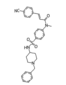 CN(C(=O)C=Cc1ccc(C#N)cc1)c1ccc(S(=O)(=O)NC2CCN(Cc3ccccc3)CC2)cc1